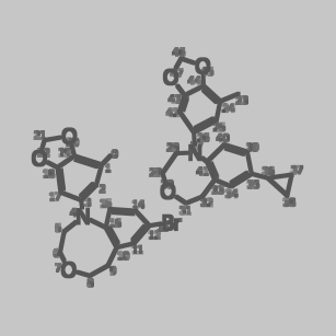 Cc1cc(N2CCOCCc3cc(Br)ccc32)cc2c1OCO2.Cc1cc(N2CCOCCc3cc(C4CC4)ccc32)cc2c1OCO2